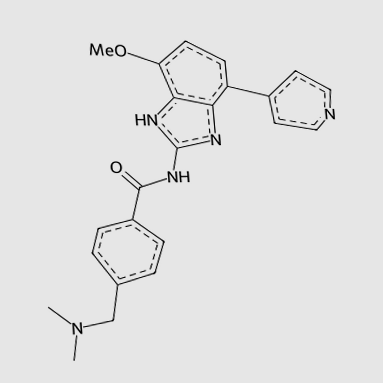 COc1ccc(-c2ccncc2)c2nc(NC(=O)c3ccc(CN(C)C)cc3)[nH]c12